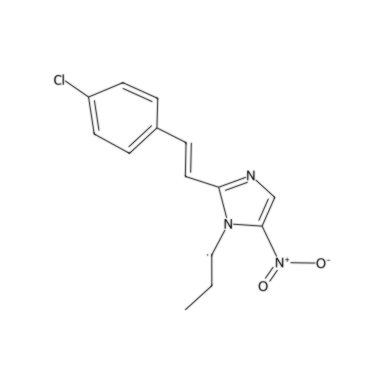 CC[CH]n1c([N+](=O)[O-])cnc1C=Cc1ccc(Cl)cc1